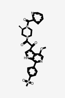 COc1cnc(-c2ccc(S(C)(=O)=O)cc2)c2[nH]cc(C(=O)C(=O)N3CCN(C(=O)c4ccccn4)[C@H](C)C3)c12